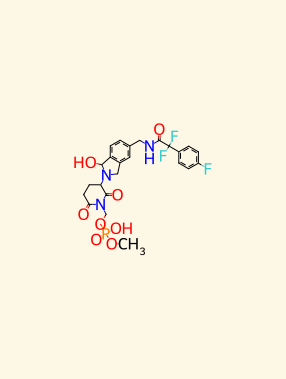 COP(=O)(O)OCN1C(=O)CCC(N2Cc3cc(CNC(=O)C(F)(F)c4ccc(F)cc4)ccc3C2O)C1=O